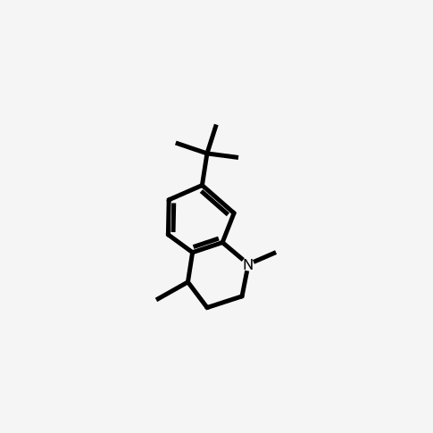 CC1CCN(C)c2cc(C(C)(C)C)ccc21